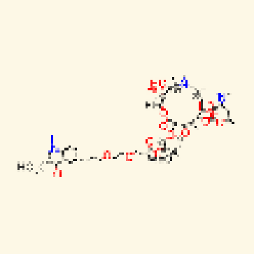 CC[C@H]1OC(=O)[C@H](C)[C@@H](O[C@H]2C[C@@](C)(OC)[C@@H](OC(=O)CCOCCOCCCc3ccc4[nH]cc(C(=O)O)c(=O)c4c3)[C@H](C)O2)[C@H](C)[C@@H](O[C@@H]2O[C@H](C)C[C@H](N(C)C)[C@H]2O)[C@](C)(O)C[C@@H](C)CN(C)[C@H](C)[C@@H](O)[C@]1(C)O